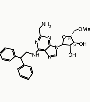 COC[C@H]1OC(n2cnc3c(NCC(c4ccccc4)c4ccccc4)nc(CN)nc32)C(O)[C@@H]1O